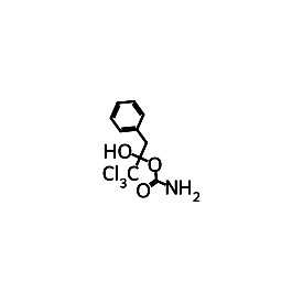 NC(=O)OC(O)(Cc1ccccc1)C(Cl)(Cl)Cl